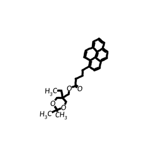 CCC1(COC(=O)CCCc2ccc3ccc4cccc5ccc2c3c45)COC(C)(C)OC1